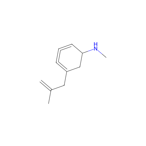 C=C(C)CC1=C=C=CC(NC)C1